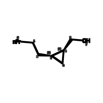 CCCCC[C@@H]1C[C@@H]1CO